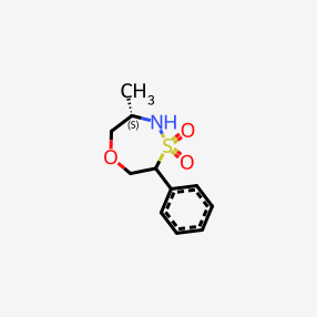 C[C@H]1COCC(c2ccccc2)S(=O)(=O)N1